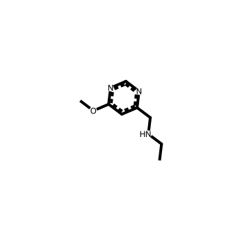 CCNCc1cc(OC)ncn1